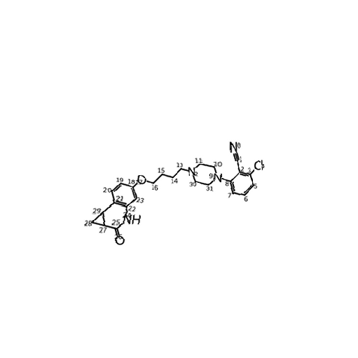 N#Cc1c(Cl)cccc1N1CCN(CCCCOc2ccc3c(c2)NC(=O)C2CC32)CC1